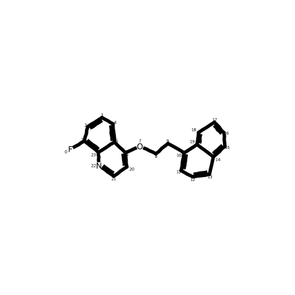 Fc1cccc2c(OCCc3cccc4ccccc34)ccnc12